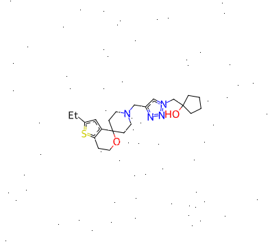 CCc1cc2c(s1)CCOC21CCN(Cc2cn(CC3(O)CCCC3)nn2)CC1